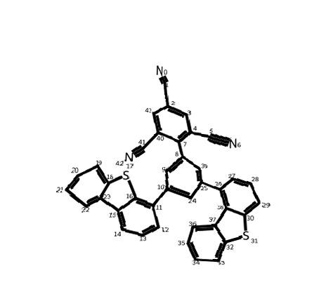 N#Cc1cc(C#N)c(-c2cc(-c3cccc4c3sc3ccccc34)cc(-c3cccc4sc5ccccc5c34)c2)c(C#N)c1